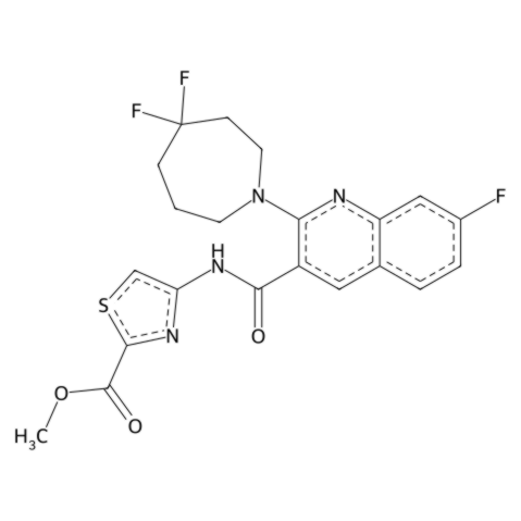 COC(=O)c1nc(NC(=O)c2cc3ccc(F)cc3nc2N2CCCC(F)(F)CC2)cs1